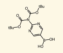 CC(C)(C)OC(=O)N(C(=O)OC(C)(C)C)c1ncc(B(O)O)cn1